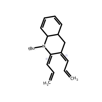 C=C/C=C1/CC2C=CC=CC2N(C(C)(C)C)/C1=C/C=C